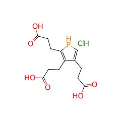 Cl.O=C(O)CCc1c[pH]c(CCC(=O)O)c1CCC(=O)O